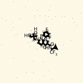 O=C(N[C@@H](C1CC1)C(F)(F)F)c1cn(-c2c(F)cc(F)cc2F)c2nc(N3CC(CO)(CO)C3)ccc2c1=O